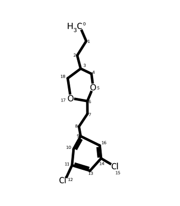 CCCC1COC(CCc2cc(Cl)cc(Cl)c2)OC1